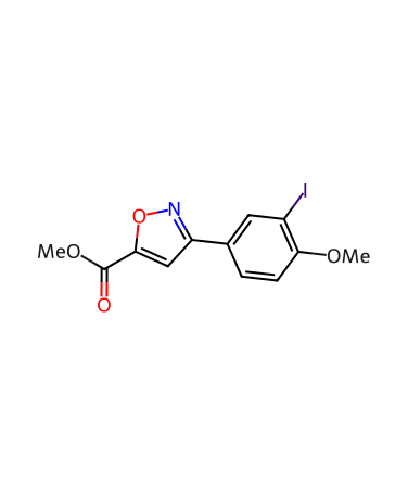 COC(=O)c1cc(-c2ccc(OC)c(I)c2)no1